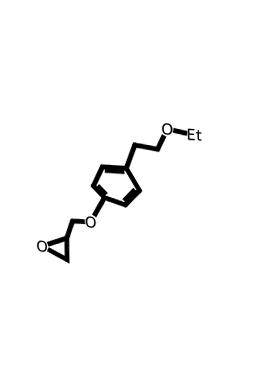 CCOCCc1ccc(OCC2CO2)cc1